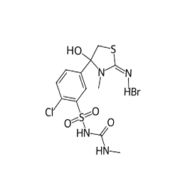 Br.CN=C1SCC(O)(c2ccc(Cl)c(S(=O)(=O)NC(=O)NC)c2)N1C